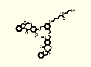 COC1=C(OCc2cc(COCc3cc4c(cc3OC)C(=O)N3c5ccccc5C[C@H]3C=N4)cc(OCCCCC(=O)NCCS)c2)C=C2N=C[C@@H]3Cc4ccccc4N3C(=O)C2C1